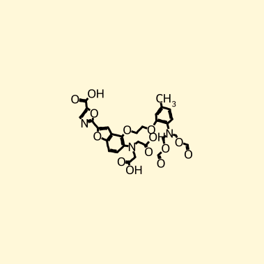 Cc1ccc(N(COC=O)COC=O)c(OCCOc2c(N(CC(=O)O)CC(=O)O)ccc3oc(-c4ncc(C(=O)O)o4)cc23)c1